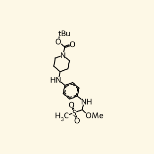 COC(Nc1ccc(NC2CCN(C(=O)OC(C)(C)C)CC2)cc1)S(C)(=O)=O